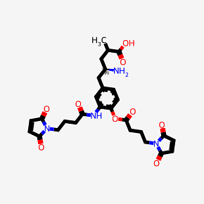 CC(C[C@@H](N)Cc1ccc(OC(=O)CCCN2C(=O)C=CC2=O)c(NC(=O)CCCN2C(=O)C=CC2=O)c1)C(=O)O